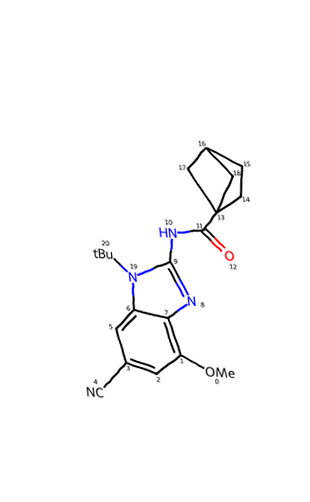 COc1cc(C#N)cc2c1nc(NC(=O)C13CCC(C1)C3)n2C(C)(C)C